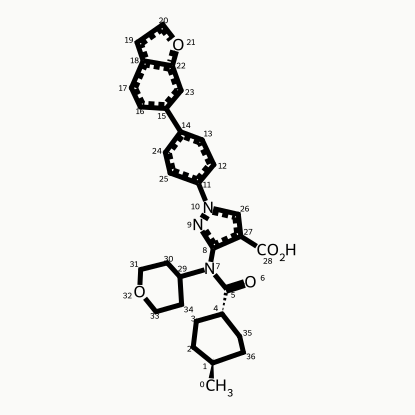 C[C@H]1CC[C@H](C(=O)N(c2nn(-c3ccc(-c4ccc5ccoc5c4)cc3)cc2C(=O)O)C2CCOCC2)CC1